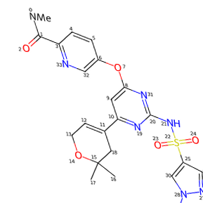 CNC(=O)c1ccc(Oc2cc(C3=CCOC(C)(C)C3)nc(NS(=O)(=O)c3cnn(C)c3)n2)cn1